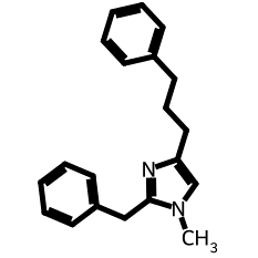 Cn1cc(CCCc2ccccc2)nc1Cc1ccccc1